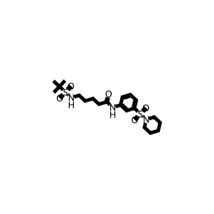 CC(C)(C)S(=O)(=O)NCCCCC(=O)Nc1cccc(S(=O)(=O)N2CCCCC2)c1